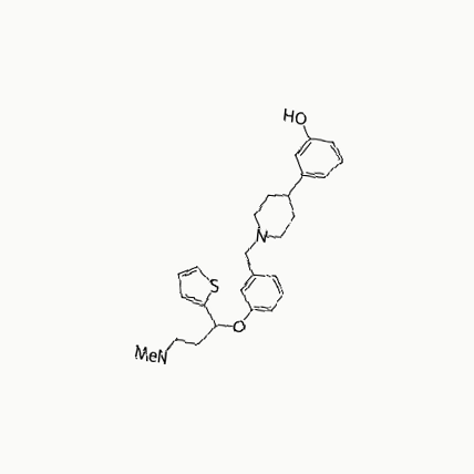 CNCCC(Oc1cccc(CN2CCC(c3cccc(O)c3)CC2)c1)c1cccs1